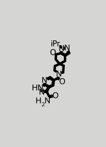 CC(C)n1ncc2c1C(=O)CC1(CCN(C(=O)c3cnc4[nH]nc(C(N)=O)c4c3)CC1)C2